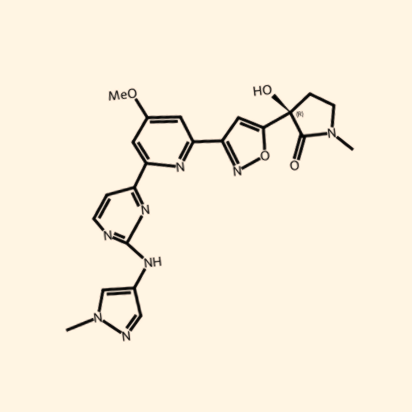 COc1cc(-c2cc([C@]3(O)CCN(C)C3=O)on2)nc(-c2ccnc(Nc3cnn(C)c3)n2)c1